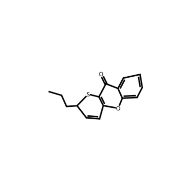 CCCC1C=Cc2oc3ccccc3c(=O)c2S1